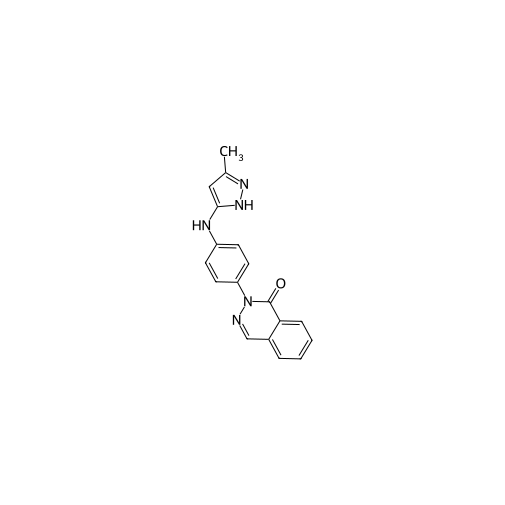 Cc1cc(Nc2ccc(-n3ncc4ccccc4c3=O)cc2)[nH]n1